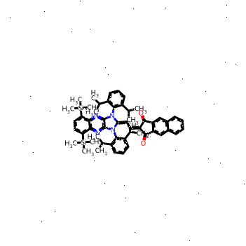 CC(C)c1cccc(C(C)C)c1N1C(=CC=C2C(=O)c3cc4ccccc4cc3C2=O)N(c2c(C(C)C)cccc2C(C)C)c2nc3c([Si](C)(C)C)ccc([Si](C)(C)C)c3nc21